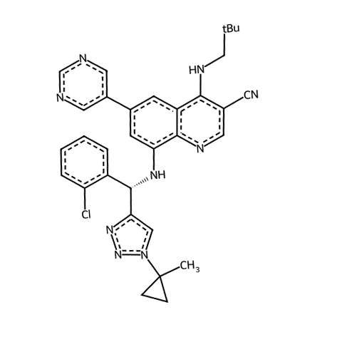 CC(C)(C)CNc1c(C#N)cnc2c(N[C@H](c3cn(C4(C)CC4)nn3)c3ccccc3Cl)cc(-c3cncnc3)cc12